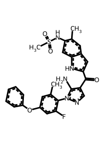 Cc1cc2cc(C(=O)c3cnn(-c4c(C)cc(Oc5ccccc5)cc4F)c3N)[nH]c2cc1NS(C)(=O)=O